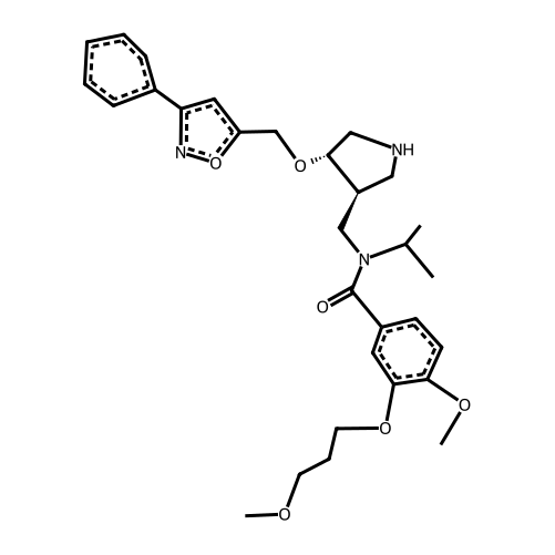 COCCCOc1cc(C(=O)N(C[C@@H]2CNC[C@H]2OCc2cc(-c3ccccc3)no2)C(C)C)ccc1OC